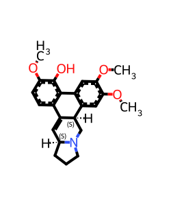 COc1cc2c(cc1OC)[C@H]1CN3CCC[C@H]3C=C1c1ccc(OC)c(O)c1-2